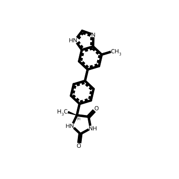 Cc1cc(-c2ccc([C@@]3(C)NC(=O)NC3=O)cc2)cc2[nH]cnc12